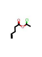 C=CCCC(=O)OC(C)Cl